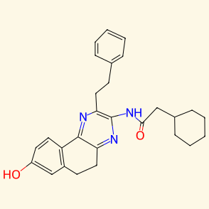 O=C(CC1CCCCC1)Nc1nc2c(nc1CCc1ccccc1)-c1ccc(O)cc1CC2